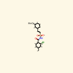 COc1cccc(/C=C/S(=O)(=O)NC(=O)c2ccc(C)cc2Br)c1